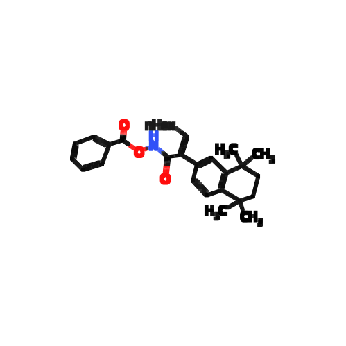 CCCCCCC=C(C(=O)NOC(=O)c1ccccc1)c1ccc2c(c1)C(C)(C)CCC2(C)C